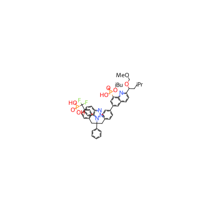 CCC(C)OP(=O)(O)c1cc(-c2ccc(CC(Cc3ccc(C(F)(F)P(=O)(O)O)cc3)(c3ccccc3)n3nnc4ccccc43)cc2)cc2ccc(C(CC(C)C)OCOC)nc12